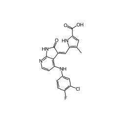 Cc1cc(C(=O)O)[nH]c1/C=C1\C(=O)Nc2nccc(Nc3ccc(F)c(Cl)c3)c21